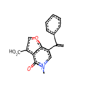 C=C(c1ccccc1)c1cn(C)c(=O)c2c(C(=O)O)coc12